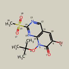 CC(C)(C)On1c(=O)c(Br)cc2cnc(S(C)(=O)=O)nc21